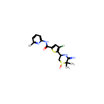 CCc1cccc(NC(=O)c2cc(Cl)c(C3C[S+]([O-])C(C)(C)C(=N)N3)s2)n1